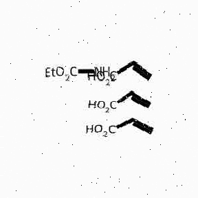 C=CC(=O)O.C=CC(=O)O.C=CC(=O)O.CCOC(N)=O